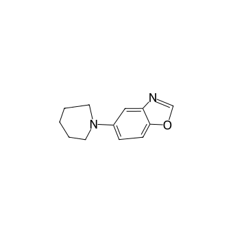 c1nc2cc(N3CCCCC3)ccc2o1